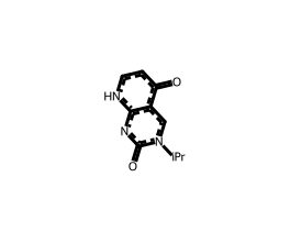 CC(C)n1cc2c(=O)cc[nH]c2nc1=O